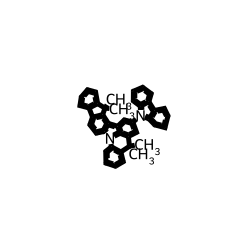 CC1(C)c2ccccc2-c2ccc3c(c21)c1cc(-n2c4ccccc4c4ccccc42)cc2c1n3-c1ccccc1C2(C)C